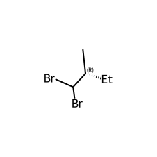 CC[C@@H](C)C(Br)Br